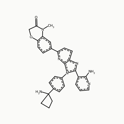 CN1C(=O)COc2ccc(-c3ccc4nc(-c5cccnc5N)n(-c5ccc(C6(N)CCC6)cc5)c4n3)cc21